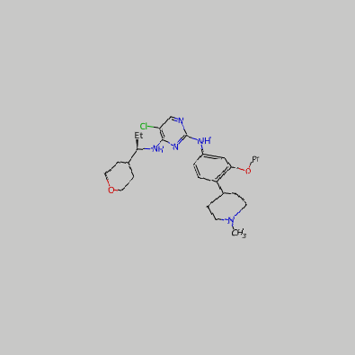 CC[C@@H](Nc1nc(Nc2ccc(C3CCN(C)CC3)c(OC(C)C)c2)ncc1Cl)C1CCOCC1